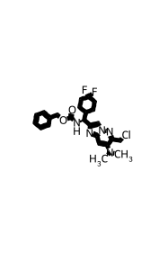 CN(C)c1cc2nc([C@@H](NC(=O)OCc3ccccc3)C3CCC(F)(F)CC3)cn2nc1CCl